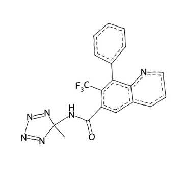 CC1(NC(=O)c2cc3cccnc3c(-c3ccccc3)c2C(F)(F)F)N=NN=N1